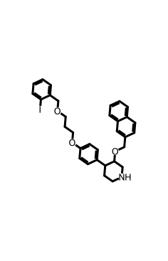 Ic1ccccc1COCCCOc1ccc(C2CCNCC2OCc2ccc3ccccc3c2)cc1